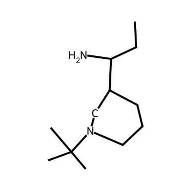 CCC(N)C1CCCN(C(C)(C)C)C1